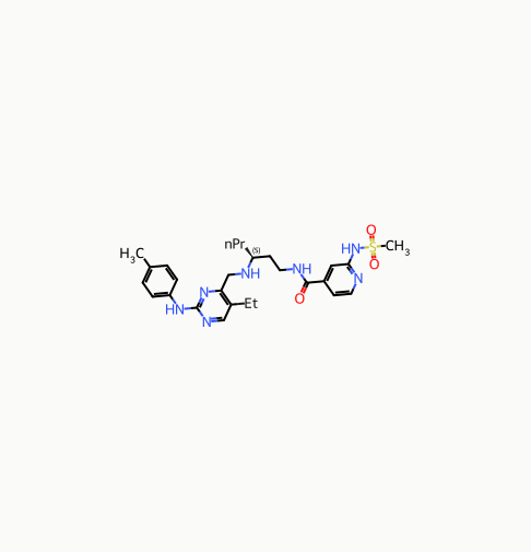 CCC[C@@H](CCNC(=O)c1ccnc(NS(C)(=O)=O)c1)NCc1nc(Nc2ccc(C)cc2)ncc1CC